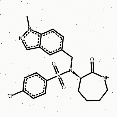 Cn1ncc2cc(CN([C@@H]3CCCCNC3=O)S(=O)(=O)c3ccc(Cl)cc3)ccc21